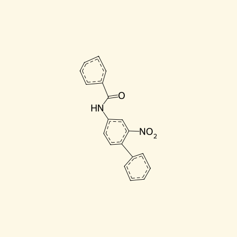 O=C(Nc1ccc(-c2ccccc2)c([N+](=O)[O-])c1)c1ccccc1